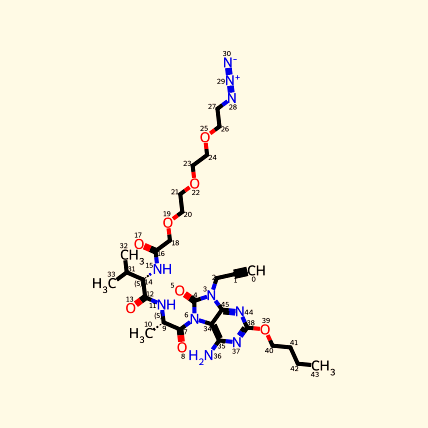 C#CCn1c(=O)n(C(=O)[C@H](C)NC(=O)[C@@H](NC(=O)COCCOCCOCCN=[N+]=[N-])C(C)C)c2c(N)nc(OCCCC)nc21